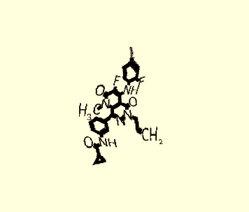 C=CCn1nc(-c2cccc(NC(=O)C3CC3)c2)c2c(c(Nc3ccc(I)cc3F)c(F)c(=O)n2C)c1=O